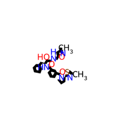 Cc1cc(CNC[C@@H](O)[C@H](Cc2ccccc2)NC(=O)c2cccc(C(=O)N3CCC[C@@H]3c3nc(C)cs3)c2)on1